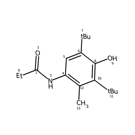 CCC(=O)Nc1cc(C(C)(C)C)c(O)c(C(C)(C)C)c1C